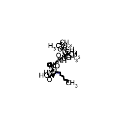 CCCCC/C=C\C1C[C@]1(NC(=O)[C@@H]1CCCN1C(=O)CNC(=O)NC(CN(C)S(=O)(=O)C(C)C)C(C)(C)C)C(=O)O